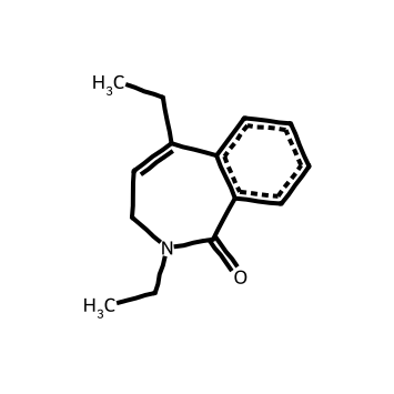 CCC1=CCN(CC)C(=O)c2ccccc21